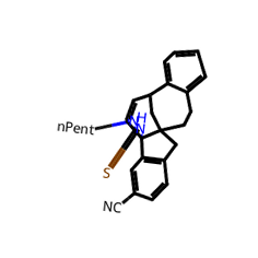 CCCCCN1C(=S)NC23C1=CC1CC2(CCc2ccccc21)Cc1ccc(C#N)cc13